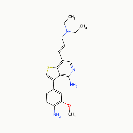 CCN(CC)CC=Cc1cnc(N)c2c(-c3ccc(N)c(OC)c3)csc12